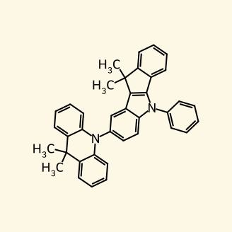 CC1(C)c2ccccc2N(c2ccc3c(c2)c2c(n3-c3ccccc3)-c3ccccc3C2(C)C)c2ccccc21